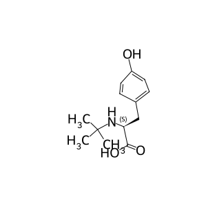 CC(C)(C)N[C@@H](Cc1ccc(O)cc1)C(=O)O